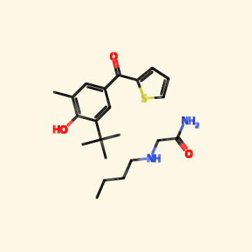 CCCCNCC(N)=O.Cc1cc(C(=O)c2cccs2)cc(C(C)(C)C)c1O